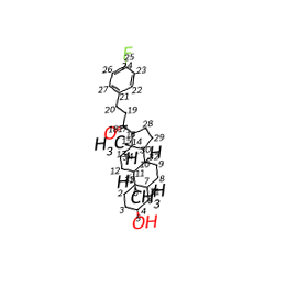 C[C@]12CC[C@H](O)C[C@@H]1CC[C@@H]1[C@@H]2CC[C@]2(C)[C@@H](C(=O)CCc3ccc(F)cc3)CC[C@@H]12